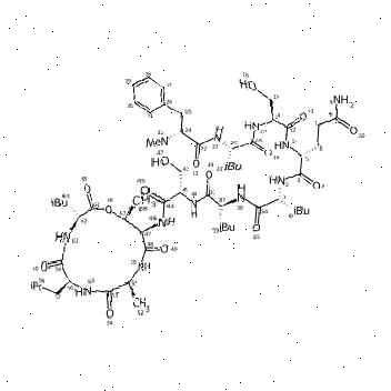 CC[C@@H](C)[C@@H](NC(=O)[C@@H](CCC(N)=O)NC(=O)[C@H](CO)NC(=O)[C@@H](NC(=O)[C@@H](Cc1ccccc1)NC)[C@@H](C)CC)C(=O)N[C@H](C(=O)N[C@@H](CO)C(=O)N[C@H]1C(=O)N[C@@H](C)C(=O)N[C@@H](CC(C)C)C(=O)N[C@@H]([C@@H](C)CC)C(=O)O[C@H]1C)[C@@H](C)CC